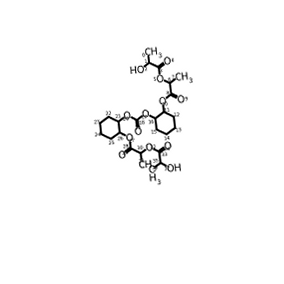 CC(O)C(=O)OC(C)C(=O)OC1CCCCC1OC(=O)OC1CCCCC1OC(=O)C(C)OC(=O)C(C)O